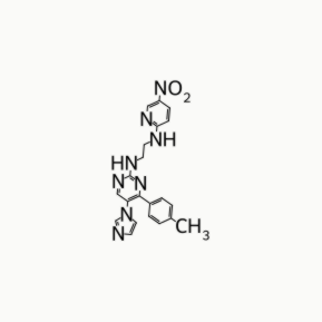 Cc1ccc(-c2nc(NCCNc3ccc([N+](=O)[O-])cn3)ncc2-n2ccnc2)cc1